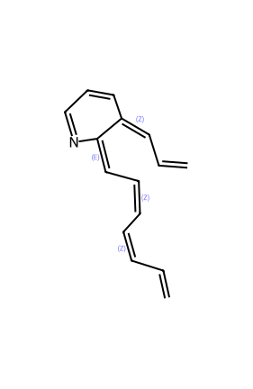 C=C\C=C/C=C\C=c1\nccc\c1=C\C=C